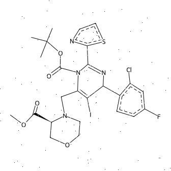 COC(=O)[C@@H]1COCCN1CC1=C(I)C(c2ccc(F)cc2Cl)N=C(c2nccs2)N1C(=O)OC(C)(C)C